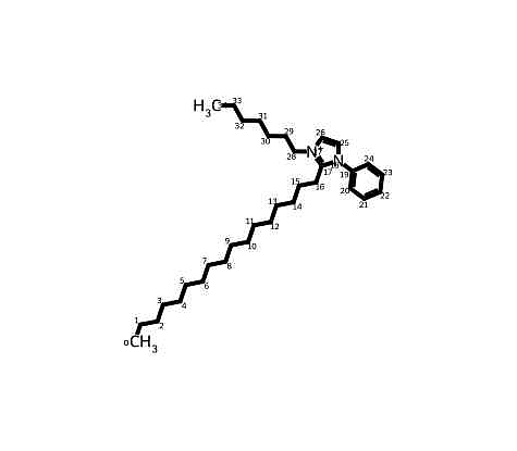 CCCCCCCCCCCCCCCCCc1n(-c2ccccc2)cc[n+]1CCCCCCC